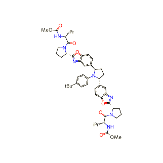 COC(=O)N[C@H](C(=O)N1CCC[C@H]1c1nc2cc([C@H]3CC[C@H](c4ccc5oc([C@@H]6CCCN6C(=O)[C@@H](NC(=O)OC)C(C)C)nc5c4)N3c3ccc(C(C)(C)C)cc3)ccc2o1)C(C)C